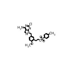 COc1ccc(Cn2ncc3c(N)nc(Cl)nc32)cc1CCOS(=O)(=O)c1ccc(C)cc1